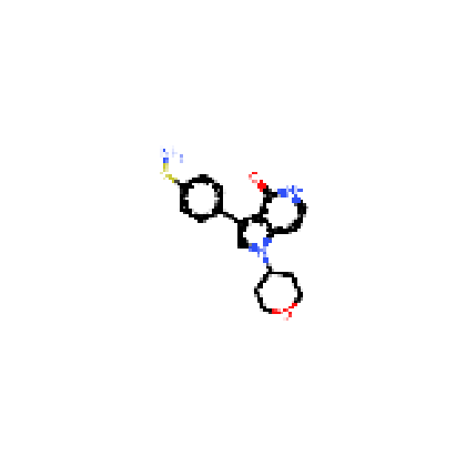 NSc1ccc(-c2cn(C3CCOCC3)c3cc[nH]c(=O)c23)cc1